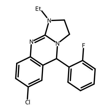 CCN1CCN2C1=Nc1ccc(Cl)cc1C2c1ccccc1F